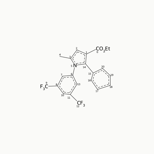 CCOC(=O)c1cc(C)n(-c2cc(C(F)(F)F)cc(C(F)(F)F)c2)c1-c1ccccc1